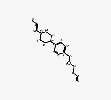 C=CCCOCc1ccc(C2CCC(C=CC)CC2)cc1